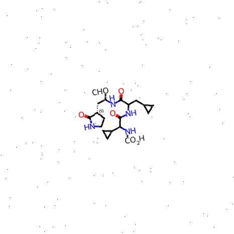 O=CC(C[C@@H]1CCNC1=O)NC(=O)C(CC1CC1)NC(=O)C(NC(=O)O)C1CC1